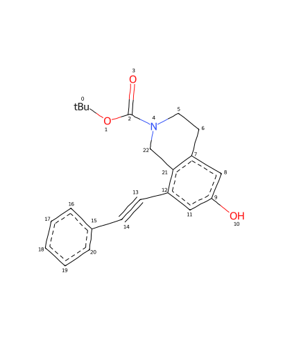 CC(C)(C)OC(=O)N1CCc2cc(O)cc(C#Cc3ccccc3)c2C1